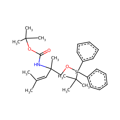 CC(C)=CC(C)(CO[Si](c1ccccc1)(c1ccccc1)C(C)(C)C)NC(=O)OC(C)(C)C